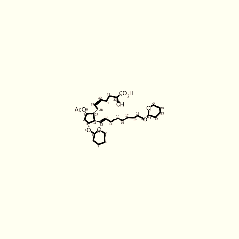 CC(=O)O[C@H]1C[C@@H](OC2CCCCO2)[C@H](/C=C/CCCCCCOC2CCCCO2)[C@H]1C/C=C\CCC(O)C(=O)O